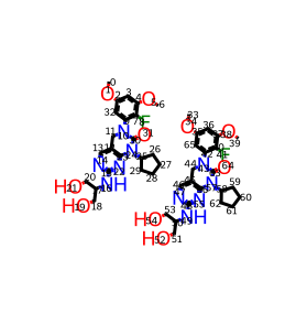 COc1cc(OC)c(F)c(N2Cc3cnc(NC(CO)CO)nc3N(C3CCCC3)C2=O)c1.COc1cc(OC)c(F)c(N2Cc3cnc(NC(CO)CO)nc3N(C3CCCC3)C2=O)c1